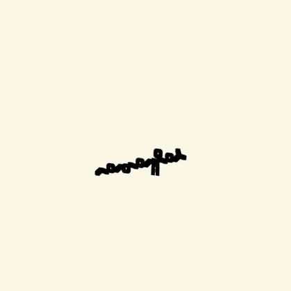 CCCOCCOCCOCCNC(=O)COCC(C)C